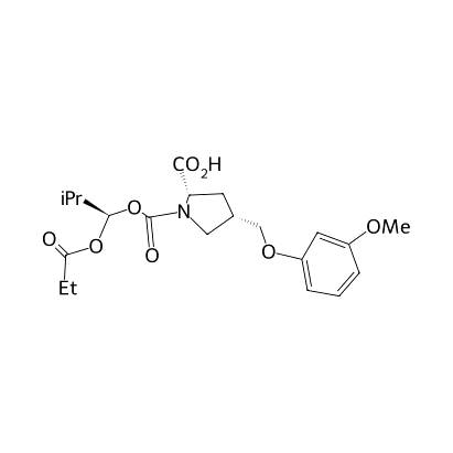 CCC(=O)O[C@H](OC(=O)N1C[C@@H](COc2cccc(OC)c2)C[C@H]1C(=O)O)C(C)C